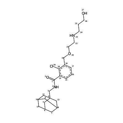 O=C(NCC12CC3CC(CC(C3)C1)C2)c1cccc(COCCNCCCO)c1Cl